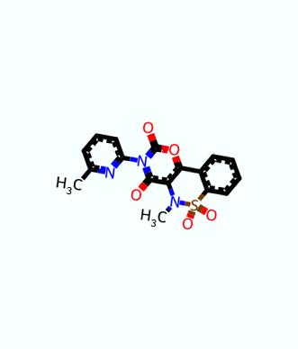 Cc1cccc(-n2c(=O)oc3c(c2=O)N(C)S(=O)(=O)c2ccccc2-3)n1